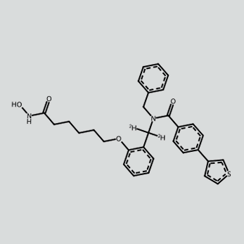 [2H]C([2H])(c1ccccc1OCCCCCC(=O)NO)N(Cc1ccccc1)C(=O)c1ccc(-c2ccsc2)cc1